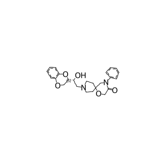 O=C1COC2(CCN(CC(O)[C@@H]3COc4ccccc4O3)CC2)CN1c1ccccc1